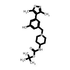 Cc1noc(C)c1-c1cc(O)cc(CN2CCC(NC(=O)OC(C)(C)C)CC2)c1